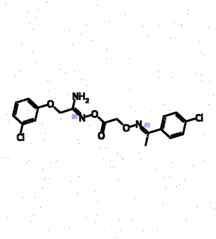 C/C(=N\OCC(=O)O/N=C(\N)COc1cccc(Cl)c1)c1ccc(Cl)cc1